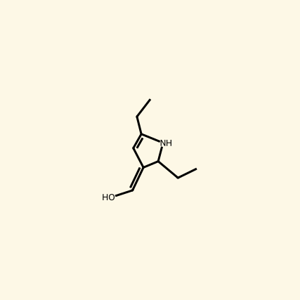 CCC1=CC(=CO)C(CC)N1